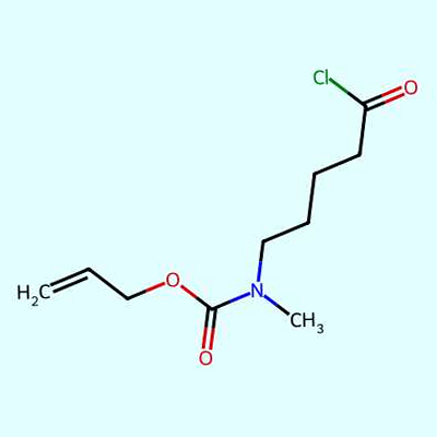 C=CCOC(=O)N(C)CCCCC(=O)Cl